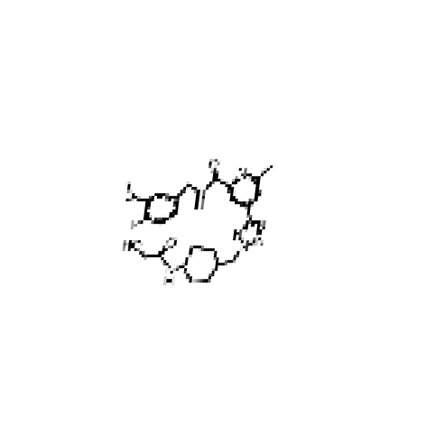 COc1cc(CNC(=O)c2cc(-c3nnn(CC4CCC(NC(=O)CO)CC4)n3)cc(C)n2)ccc1F